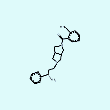 CNc1ccccc1C(=O)N1CC2CN(CC[C@H](N)c3ccccc3)CC2C1